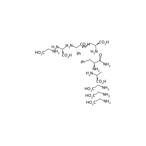 CC(C)C[C@H](N)C(=O)O.CC(C)C[C@H](N)C(N)=O.CC(C)[C@H](N)C(=O)O.C[C@H](N)C(=O)O.C[C@H](N)C(=O)O.NCC(=O)O.NCC(=O)O.NCC(=O)O.NCC(=O)O